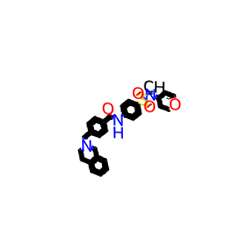 CN(C1CCOCC1)S(=O)(=O)c1ccc(NC(=O)c2ccc(CN3CCc4ccccc4C3)cc2)cc1